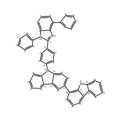 c1ccc(-c2cccc3c2nc(-c2ccc(-n4c5ccccc5c5cc(-c6cccc7c6sc6ccccc67)ccc54)cc2)n3-c2ccccc2)cc1